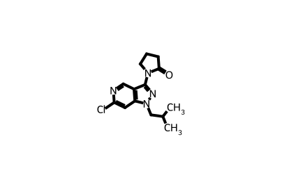 CC(C)Cn1nc(N2CCCC2=O)c2cnc(Cl)cc21